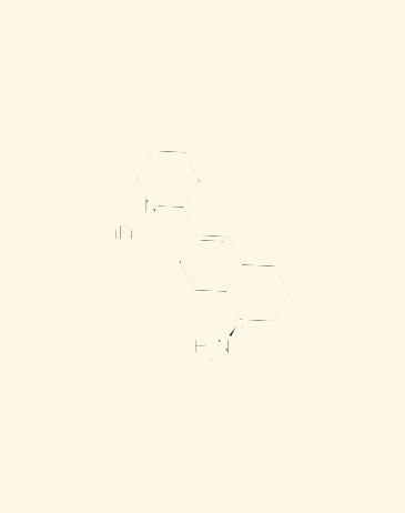 CC(C)N1CCCCC1c1ccc2c(c1)CCC[C@H]2N